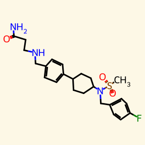 CS(=O)(=O)N(Cc1ccc(F)cc1)C1CCC(c2ccc(CNCCC(N)=O)cc2)CC1